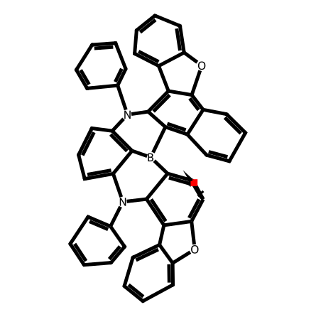 c1ccc(N2c3cccc4c3B(c3c2c2c5ccccc5oc2c2ccccc32)c2c(c3c5ccccc5oc3c3ccccc23)N4c2ccccc2)cc1